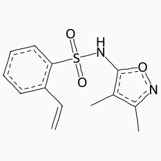 C=Cc1ccccc1S(=O)(=O)Nc1onc(C)c1C